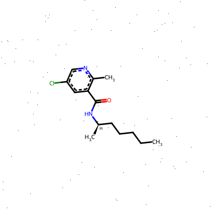 CCCCC[C@@H](C)NC(=O)c1cc(Cl)cnc1C